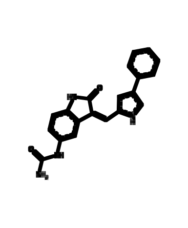 NC(=O)Nc1ccc2c(c1)/C(=C/c1cc(-c3ccccc3)c[nH]1)C(=O)N2